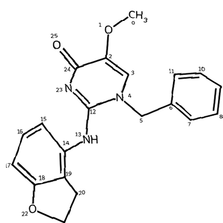 COc1cn(Cc2ccccc2)c(Nc2cccc3c2CCO3)nc1=O